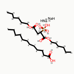 CCCCCCCCCCCC(=O)O.CCCCCCOC(=O)CC(C(=O)OCCCCCC)S(=O)(=O)O.[NaH].[NaH]